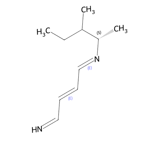 CCC(C)[C@H](C)/N=C/C=C/C=N